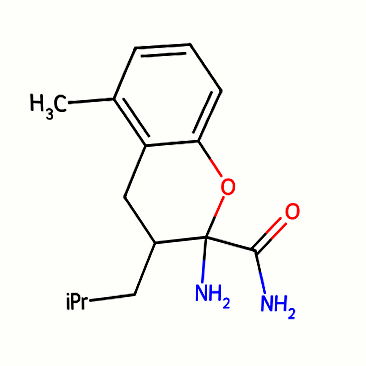 Cc1cccc2c1CC(CC(C)C)C(N)(C(N)=O)O2